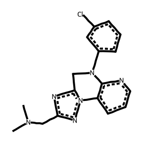 CN(C)Cc1nc2n(n1)-c1cccnc1N(c1cccc(Cl)c1)C2